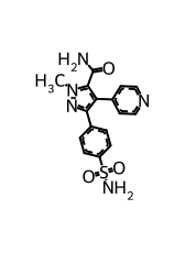 Cn1nc(-c2ccc(S(N)(=O)=O)cc2)c(-c2ccncc2)c1C(N)=O